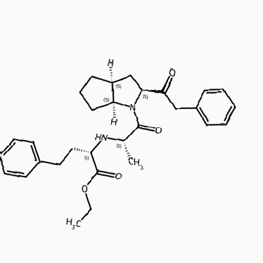 CCOC(=O)[C@H](CCc1ccccc1)N[C@@H](C)C(=O)N1[C@H](C(=O)Cc2ccccc2)C[C@@H]2CCC[C@@H]21